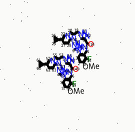 COc1ccc(-n2cnnn2)c(CNC(=O)c2cn(Cc3cn4cc(C5CC5)ccc4n3)nn2)c1F.COc1ccc(-n2cnnn2)c(CNC(=O)c2cn(Cc3cn4cc(C5CC5)ccc4n3)nn2)c1F